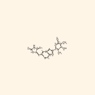 Cc1c(-c2cc3cc(C=C4OC(=O)NC4=O)ccc3o2)oc(=O)c(C)c1O